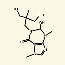 CN1c2ncn(C)c2C(=O)N(CC(C)(CO)CO)C1O